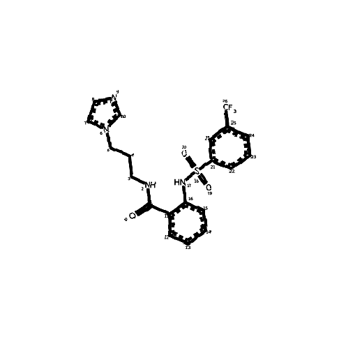 O=C(NCCCn1ccnc1)c1ccccc1NS(=O)(=O)c1cccc(C(F)(F)F)c1